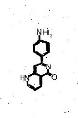 Nc1ccc(-c2cc3[nH]cccc-3c(=O)n2)cc1